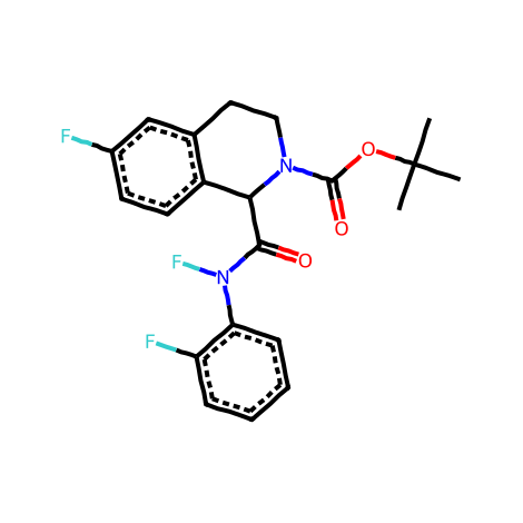 CC(C)(C)OC(=O)N1CCc2cc(F)ccc2C1C(=O)N(F)c1ccccc1F